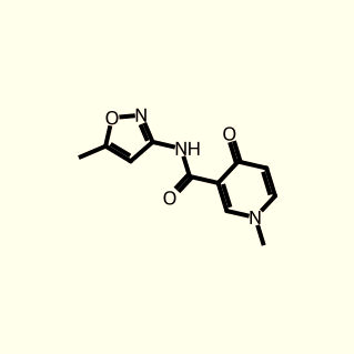 Cc1cc(NC(=O)c2cn(C)ccc2=O)no1